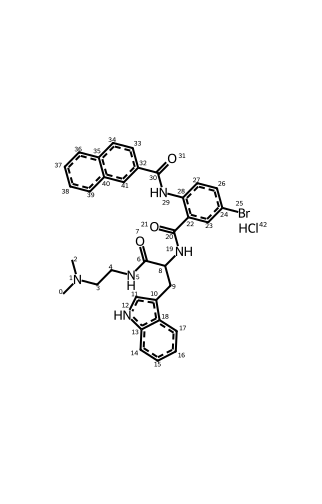 CN(C)CCNC(=O)C(Cc1c[nH]c2ccccc12)NC(=O)c1cc(Br)ccc1NC(=O)c1ccc2ccccc2c1.Cl